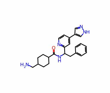 NCC1CCC(C(=O)NC(Cc2ccccc2)c2cc(-c3cn[nH]c3)ccn2)CC1